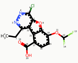 CCc1nnc(Cl)c2oc3c(OC(F)F)ccc(C(=O)O)c3c12